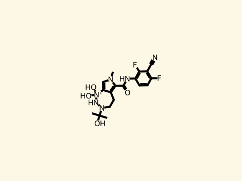 Cn1cc2c(c1C(=O)Nc1ccc(F)c(C#N)c1F)CCN(C(C)(C)O)N[N+]2(O)O